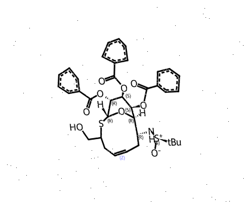 CC(C)(C)[S@@+]([O-])N[C@@H]1C/C=C\CC(CO)S[C@H]2O[C@H]1[C@H](OC(=O)c1ccccc1)[C@H](OC(=O)c1ccccc1)[C@H]2OC(=O)c1ccccc1